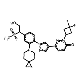 NS(=O)(=O)C(CO)c1ccc(-n2cc(-c3ccc(=O)n(C4CC(F)(F)C4)n3)cn2)c(N2CCC3(CC2)CC3)c1